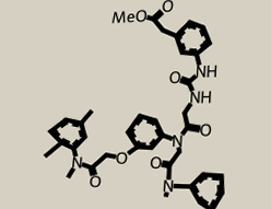 COC(=O)Cc1cccc(NC(=O)NCC(=O)N(CC(=O)N(C)c2ccccc2)c2cccc(OCC(=O)N(C)c3cc(C)ccc3C)c2)c1